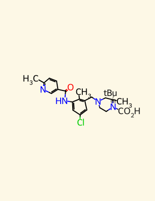 Cc1ccc(C(=O)Nc2cc(Cl)cc(CN3CCN(C(=O)O)[C@@](C)(C(C)(C)C)C3)c2C)cn1